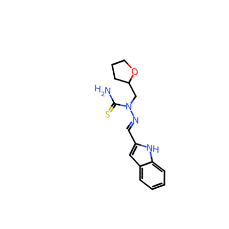 NC(=S)N(CC1CCCO1)N=Cc1cc2ccccc2[nH]1